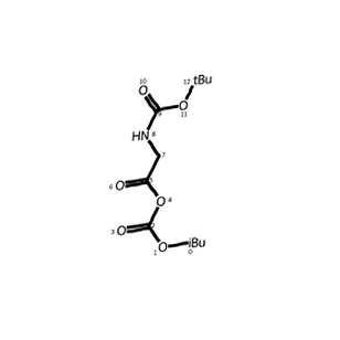 CCC(C)OC(=O)OC(=O)CNC(=O)OC(C)(C)C